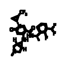 C[C@@H](NC(=O)c1cn([C@@H]2C[C@H]2C(F)(F)F)c(=O)cc1N[C@@H]1[C@@H]2CN(C)C[C@@H]21)c1cccc(C(F)F)c1F